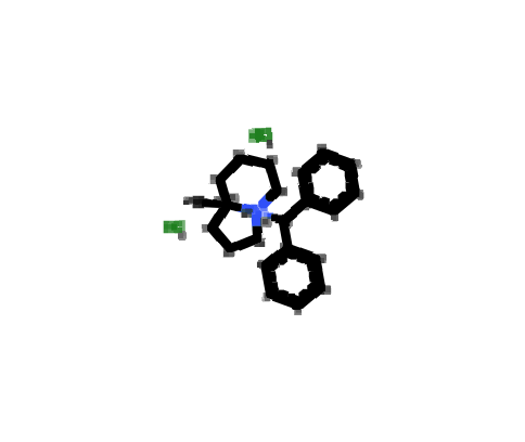 Cl.Cl.c1ccc(C(c2ccccc2)[N@@+]23CCCC[C@H]2CCC3)cc1